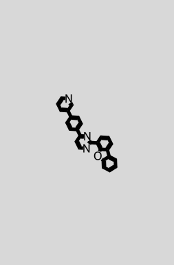 c1cncc(-c2ccc(-c3ccnc(-c4cccc5c4oc4ccccc45)n3)cc2)c1